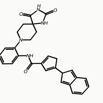 O=C1NC(=O)C2(CCN(c3ccccc3NC(=O)C3=CCC(C4C=c5ccccc5=C4)=C3)CC2)N1